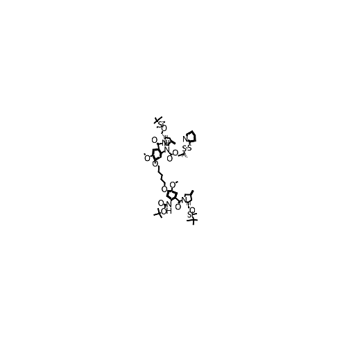 C=C1C[C@@H](CO[Si](C)(C)C(C)(C)C)N(C(=O)c2cc(OC)c(OCCCCCOc3cc(NC(=O)OC(C)(C)C)c(C(=O)N4CC(=C)C[C@H]4CO[Si](C)(C)C(C)(C)C)cc3OC)cc2NC(=O)OC[C@@H](C)SSc2ccccn2)C1